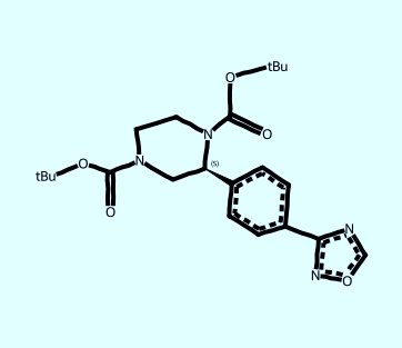 CC(C)(C)OC(=O)N1CCN(C(=O)OC(C)(C)C)[C@@H](c2ccc(-c3ncon3)cc2)C1